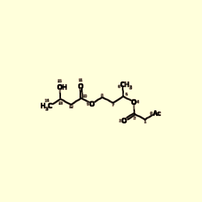 CC(=O)CC(=O)OC(C)CCOC(=O)CC(C)O